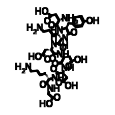 NCCCC[C@H](NC(=O)[C@H](CC(=O)O)NC(=O)[C@H](CC(=O)O)NC(=O)[C@H](CC(=O)O)NC(=O)[C@H](CCCCN)NC(=O)[C@H](Cc1ccc(O)cc1)NC(=O)[C@@H](N)CC(=O)O)C(=O)NCC(=O)O